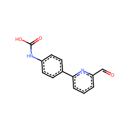 O=Cc1cccc(-c2ccc(NC(=O)O)cc2)n1